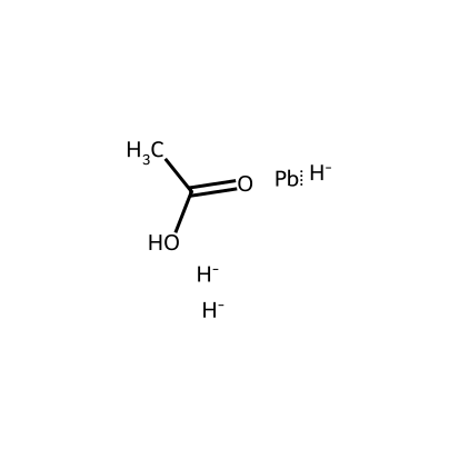 CC(=O)O.[H-].[H-].[H-].[Pb]